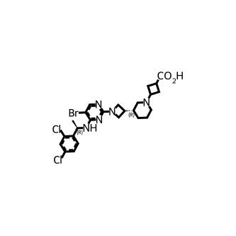 C[C@@H](Nc1nc(N2CC([C@H]3CCCN(C4CC(C(=O)O)C4)C3)C2)ncc1Br)c1ccc(Cl)cc1Cl